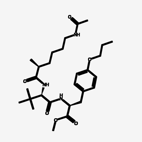 CCCOc1ccc(C[C@H](NC(=O)[C@@H](NC(=O)[C@@H](C)CCCCNC(C)=O)C(C)(C)C)C(=O)OC)cc1